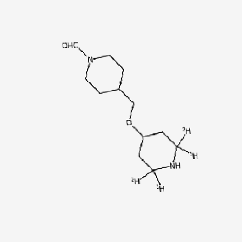 [2H]C1([2H])CC(OCC2CCN(C=O)CC2)CC([2H])([2H])N1